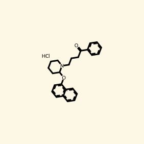 Cl.O=C(CCCN1CCCCC1Oc1cccc2ccccc12)c1ccccc1